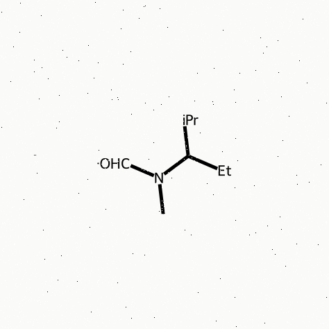 CCC(C(C)C)N(C)[C]=O